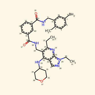 Bc1ccc(C)c(CNC(=O)c2cccc(C(=O)NCc3c(CC)nc4c(cnn4CC)c3NC3CCOCC3)c2)c1